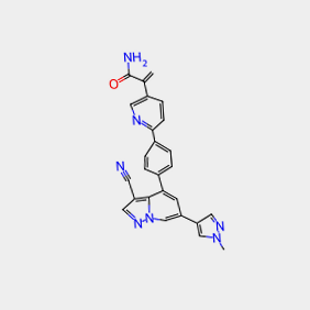 C=C(C(N)=O)c1ccc(-c2ccc(-c3cc(-c4cnn(C)c4)cn4ncc(C#N)c34)cc2)nc1